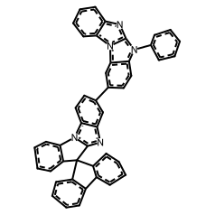 c1ccc(-n2c3ccc(-c4ccc5c(c4)nc4n5-c5ccccc5C45c4ccccc4-c4ccccc45)cc3n3c4ccccc4nc23)cc1